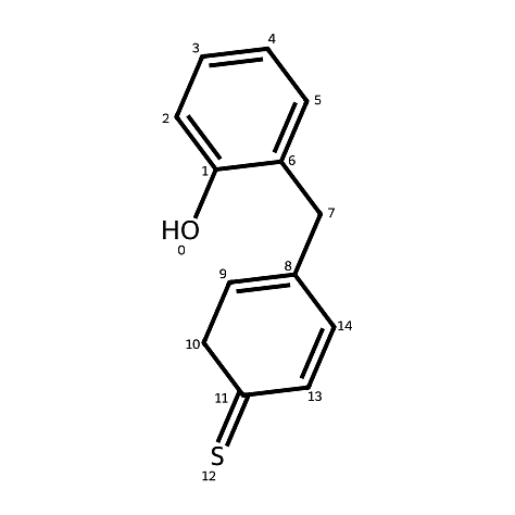 Oc1ccccc1CC1=CCC(=S)C=C1